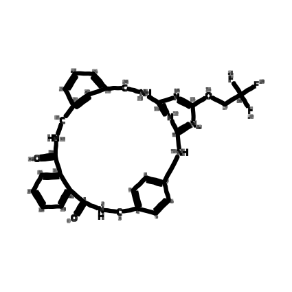 O=C1NCc2ccc(cc2)Nc2nc(nc(OCC(F)(F)F)n2)NCc2cccc(c2)CNC(=O)c2ccccc21